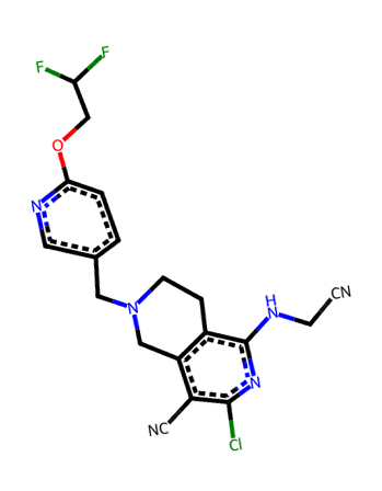 N#CCNc1nc(Cl)c(C#N)c2c1CCN(Cc1ccc(OCC(F)F)nc1)C2